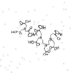 O=C(O)CN(CC(=O)O)CC(=O)O.O=C(O)CN(CCN(CC(=O)O)CC(=O)O)CCN(CC(=O)O)CC(=O)O